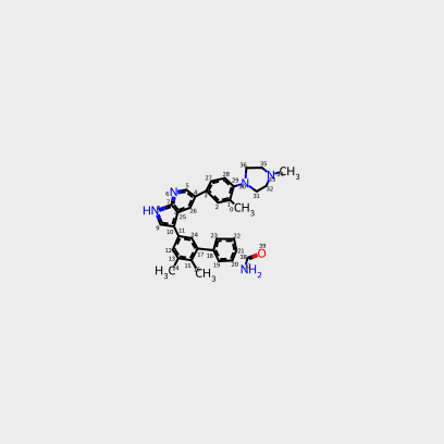 Cc1cc(-c2cnc3[nH]cc(-c4cc(C)c(C)c(-c5ccccc5)c4)c3c2)ccc1N1CCN(C)CC1.NC=O